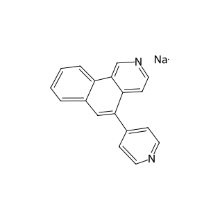 [Na].c1ccc2c(c1)cc(-c1ccncc1)c1ccncc12